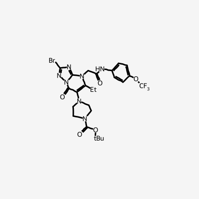 CCc1c(N2CCN(C(=O)OC(C)(C)C)CC2)c(=O)n2nc(Br)nc2n1CC(=O)Nc1ccc(OC(F)(F)F)cc1